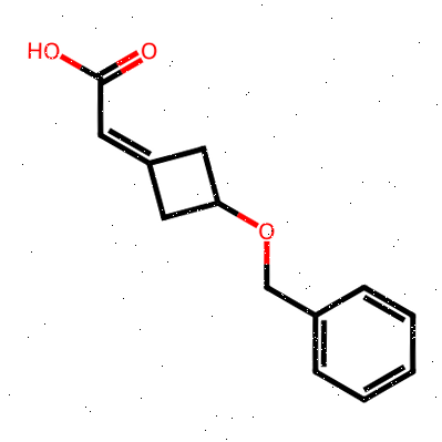 O=C(O)C=C1CC(OCc2ccccc2)C1